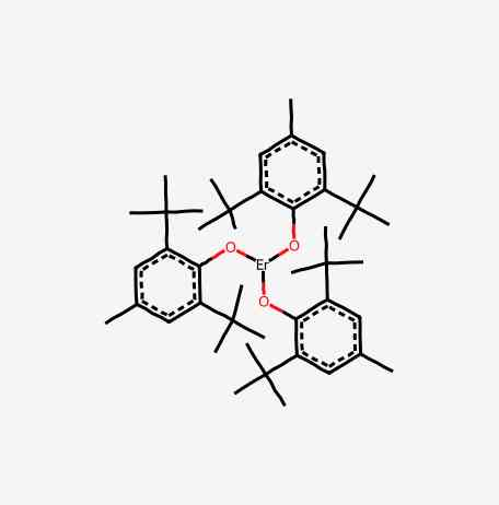 Cc1cc(C(C)(C)C)c([O][Er]([O]c2c(C(C)(C)C)cc(C)cc2C(C)(C)C)[O]c2c(C(C)(C)C)cc(C)cc2C(C)(C)C)c(C(C)(C)C)c1